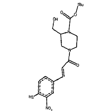 CC(C)(C)OC(=O)N1CCN(C(=O)/C=C/c2ccc(S)c([N+](=O)[O-])c2)CC1CO